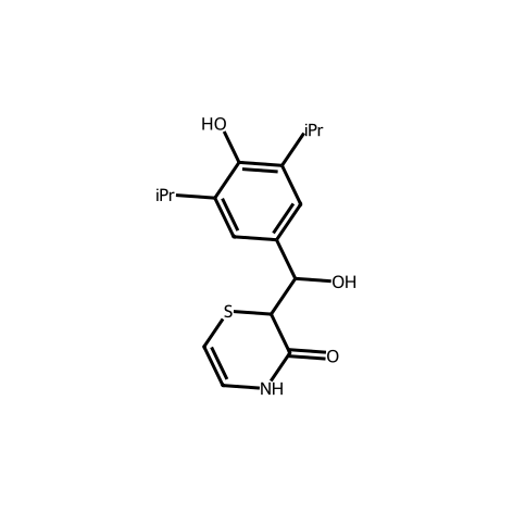 CC(C)c1cc(C(O)C2SC=CNC2=O)cc(C(C)C)c1O